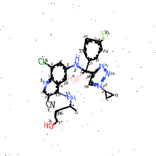 BC(Nc1cc(Cl)c2ncc(C#N)c(NC(C)CCO)c2c1)(c1ccc(F)cc1)c1cn(C2CC2)nn1